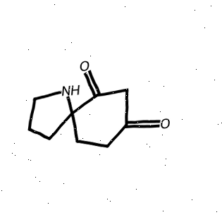 O=C1CCC2(CCCN2)C(=O)C1